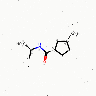 C[C@H](NC(=O)[C@H]1CC[C@@H](S(=O)(=O)O)C1)C(=O)O